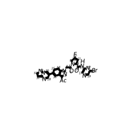 CC(=O)c1nn(CC(=O)N2C[C@H](F)C[C@H]2C(=O)Nc2cncc(Br)n2)c2ccc(-c3cnc4ccnn4c3)cc12